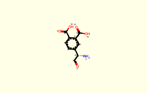 N[C@H](C=O)c1ccc(C(=O)O)c(C(=O)O)c1